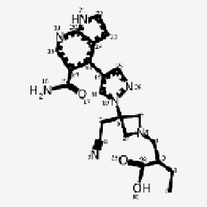 CCC(CN1CC(CC#N)(n2cc(-c3c(C(N)=O)cnc4[nH]ccc34)cn2)C1)C(=O)O